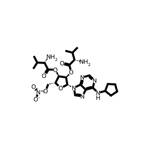 CC(C)[C@H](N)C(=O)O[C@@H]1[C@H](OC(=O)[C@@H](N)C(C)C)[C@@H](CO[N+](=O)[O-])O[C@H]1n1cnc2c(NC3CCCC3)ncnc21